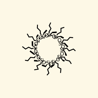 C=C[Si]1(CCCC)O[Si](C=C)(CCCC)O[Si](C=C)(CCCC)O[Si](C=C)(CCCC)O[Si](C=C)(CCCC)O[Si](C=C)(CCCC)O[Si](C=C)(CCCC)O[Si](C=C)(CCCC)O[Si](C=C)(CCCC)O[Si](C=C)(CCCC)O[Si](C=C)(CCCC)O[Si](C=C)(CCCC)O1